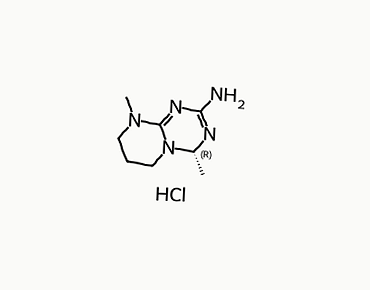 C[C@H]1N=C(N)N=C2N(C)CCCN21.Cl